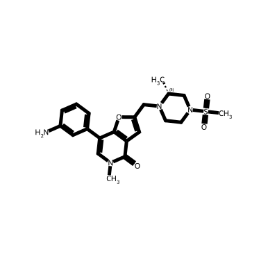 C[C@@H]1CN(S(C)(=O)=O)CCN1Cc1cc2c(=O)n(C)cc(-c3cccc(N)c3)c2o1